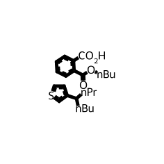 CCCCC(CCC)c1ccsc1.CCCCOC(=O)c1ccccc1C(=O)O